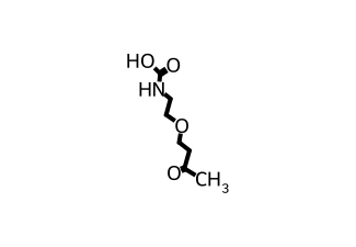 CC(=O)CCOCCNC(=O)O